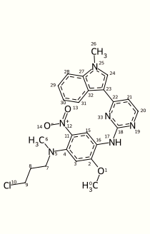 COc1cc(N(C)CCCCl)c([N+](=O)[O-])cc1Nc1nccc(-c2cn(C)c3ccccc23)n1